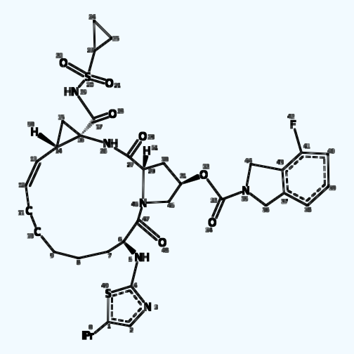 CC(C)c1cnc(N[C@H]2CCCCC/C=C\[C@@H]3C[C@@]3(C(=O)NS(=O)(=O)C3CC3)NC(=O)[C@@H]3C[C@@H](OC(=O)N4Cc5cccc(F)c5C4)CN3C2=O)s1